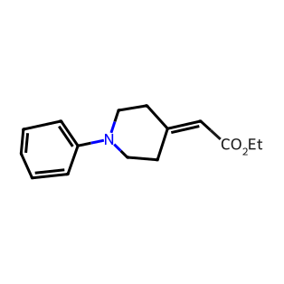 CCOC(=O)C=C1CCN(c2ccccc2)CC1